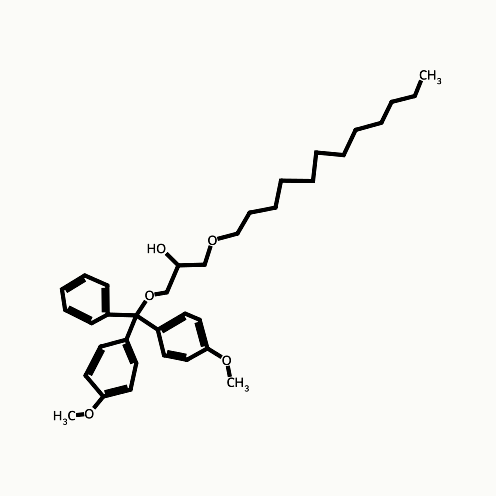 CCCCCCCCCCCCOCC(O)COC(c1ccccc1)(c1ccc(OC)cc1)c1ccc(OC)cc1